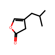 CC(C)CC1=COC(=O)C1